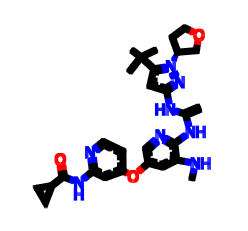 C=C(Nc1cc(C(C)(C)C)n([C@H]2CCOC2)n1)Nc1ncc(Oc2ccnc(NC(=O)C3CC3)c2)cc1NC